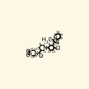 Cc1c(-c2cc(N3CCCC(C(=O)N4CCS(=O)(=O)CC4)C3)ccc2Cl)nc2ccccn12